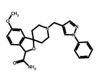 COc1ccc2c(c1)C1(CCN(Cc3cnn(-c4ccccc4)c3)CC1)OC2C(N)=O